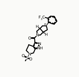 CS(=O)(=O)N1CCc2c(C(=O)N3C[C@H]4C[C@@H](c5ccccc5C(F)(F)F)C[C@H]4C3)n[nH]c2C1